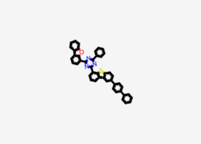 c1ccc(-c2ccc(-c3ccc4sc5c(-c6nc(-c7ccccc7)nc(-c7cccc8c7oc7ccccc78)n6)cccc5c4c3)cc2)cc1